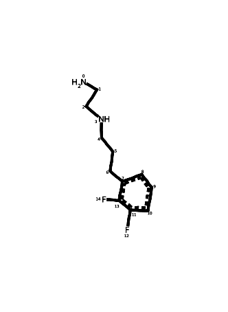 NCCNCCCc1cccc(F)c1F